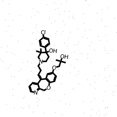 CC(C)(O)COc1ccc2c(c1)C(=CCCN1CCC(O)(c3ccc(Cl)cc3)C(C)(C)C1)c1cccnc1CO2